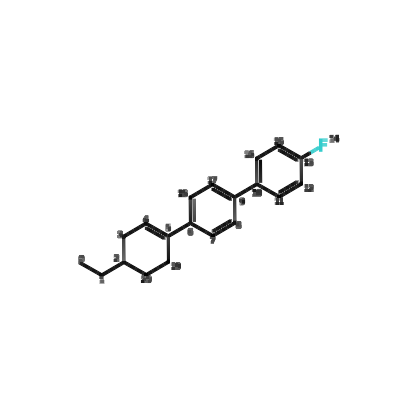 CCC1CC=C(c2ccc(-c3ccc(F)cc3)cc2)CC1